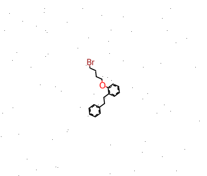 BrCCCCOc1ccccc1CCc1ccccc1